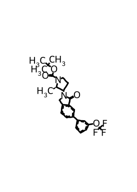 C[C@@H]1[C@H](N2Cc3ccc(-c4cccc(OC(F)(F)F)c4)cc3C2=O)CCN1C(=O)OC(C)(C)C